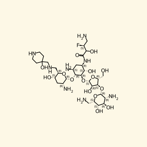 NC[C@@H]1O[C@H](O[C@H]2[C@@H](O)[C@H](O[C@@H]3[C@@H](O)[C@H](NC(=O)C(O)[C@@H](F)CN)C[C@H](N)[C@H]3O[C@H]3O[C@H](CNCC4(O)CCNCC4)[C@@H](O)C[C@H]3N)O[C@@H]2CO)[C@H](N)[C@@H](O)[C@@H]1O